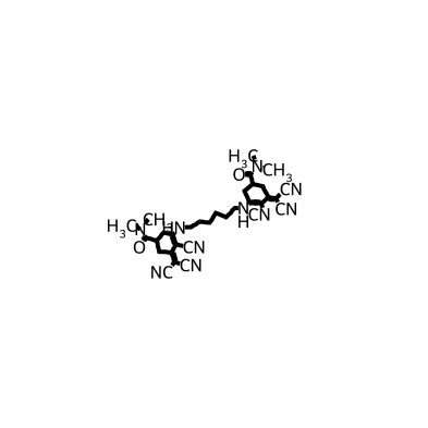 CN(C)C(=O)C1CC(NCCCCCCNC2=C(C#N)C(=C(C#N)C#N)CC(C(=O)N(C)C)C2)=C(C#N)C(=C(C#N)C#N)C1